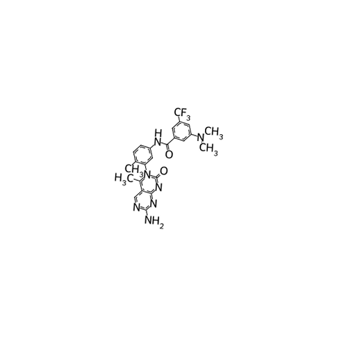 Cc1ccc(NC(=O)c2cc(N(C)C)cc(C(F)(F)F)c2)cc1-n1c(C)c2cnc(N)nc2nc1=O